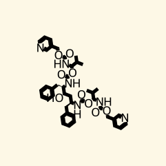 CC(C)C(NC(=O)OCc1cccnc1)OC(=O)N[C@@H](Cc1ccccc1)C[C@H](O)[C@H](Cc1ccccc1)NC(=O)OC(NC(=O)OCc1cccnc1)C(C)C